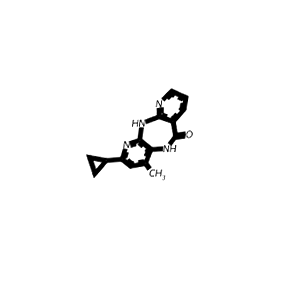 Cc1cc(C2CC2)nc2c1NC(=O)c1cccnc1N2